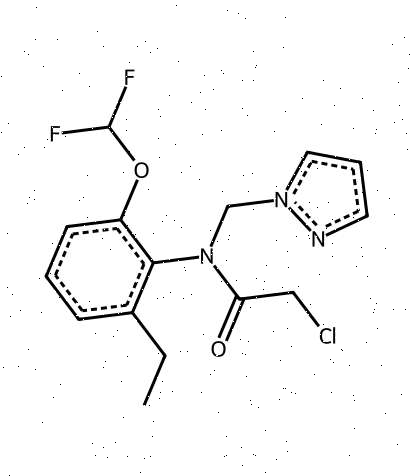 CCc1cccc(OC(F)F)c1N(Cn1cccn1)C(=O)CCl